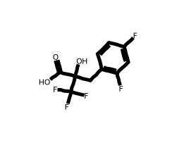 O=C(O)C(O)(Cc1ccc(F)cc1F)C(F)(F)F